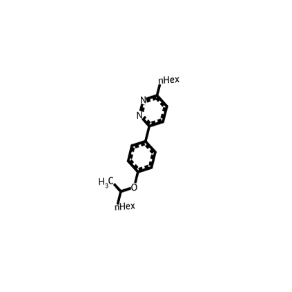 CCCCCCc1ccc(-c2ccc(OC(C)CCCCCC)cc2)nn1